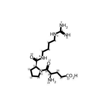 N=C(N)NCCCCNC(=O)[C@@H]1CCCN1C(=O)[C@H](N)CCC(=O)O